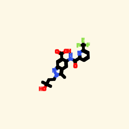 Cc1c2cc(NC(=O)c3cccc(C(F)(F)F)n3)c(C(=O)O)cc2nn1CCC(C)(C)O